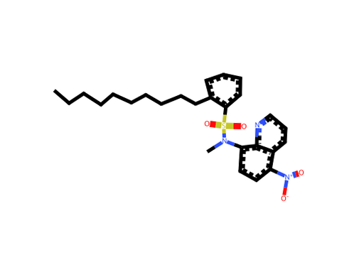 CCCCCCCCCCc1ccccc1S(=O)(=O)N(C)c1ccc([N+](=O)[O-])c2cccnc12